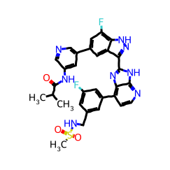 CC(C)C(=O)Nc1cncc(-c2cc(F)c3[nH]nc(-c4nc5c(-c6cc(F)cc(CNS(C)(=O)=O)c6)ccnc5[nH]4)c3c2)c1